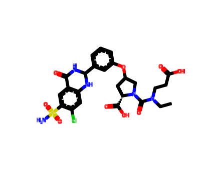 CCN(CCC(=O)O)C(=O)N1CC(Oc2cccc(C3NC(=O)c4cc(S(N)(=O)=O)c(Cl)cc4N3)c2)C[C@H]1C(=O)O